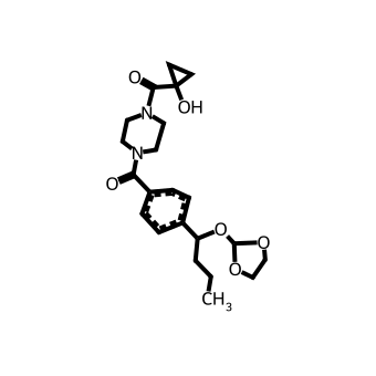 CCCC(OC1OCCO1)c1ccc(C(=O)N2CCN(C(=O)C3(O)CC3)CC2)cc1